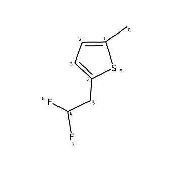 Cc1ccc([CH]C(F)F)s1